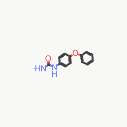 [NH]C(=O)Nc1ccc(Oc2ccccc2)cc1